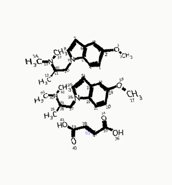 COc1ccc2c(ccn2C[C@@H](C)N(C)C)c1.COc1ccc2c(ccn2C[C@@H](C)N(C)C)c1.O=C(O)/C=C/C(=O)O